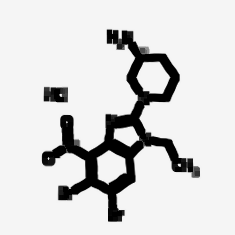 CCn1c(N2CCC[C@H](N)C2)nc2c([N+](=O)[O-])c(Br)c(Br)cc21.Cl